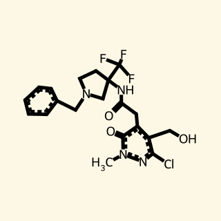 Cn1nc(Cl)c(CO)c(CC(=O)NC2(C(F)(F)F)CCN(Cc3ccccc3)C2)c1=O